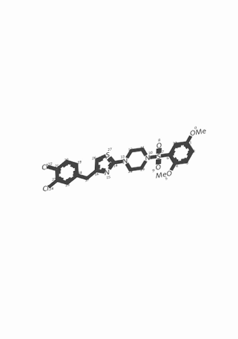 COc1ccc(OC)c(S(=O)(=O)N2CCN(c3nc(Cc4ccc(Cl)c(Cl)c4)cs3)CC2)c1